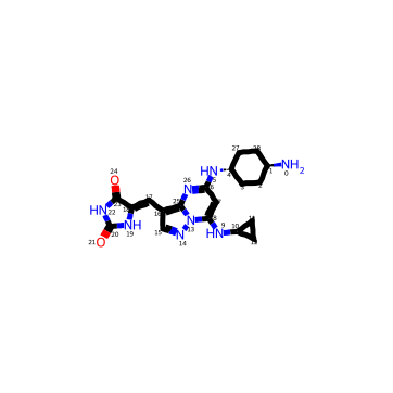 N[C@H]1CC[C@H](Nc2cc(NC3CC3)n3ncc(/C=C4\NC(=O)NC4=O)c3n2)CC1